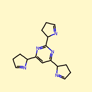 C1=NC(c2cc(C3CCC=N3)nc(C3CCC=N3)n2)CC1